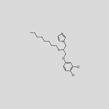 CCCCCCCCSC(COc1ccc(Cl)c(Cl)c1)Cn1ccnc1